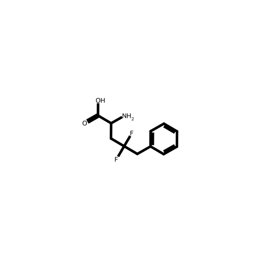 NC(CC(F)(F)Cc1ccccc1)C(=O)O